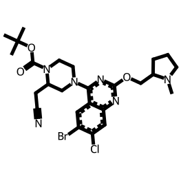 CN1CCCC1COc1nc(N2CCN(C(=O)OC(C)(C)C)C(CC#N)C2)c2cc(Br)c(Cl)cc2n1